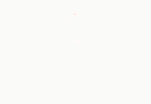 OCC1CC2CC=C(F)C=C2O1